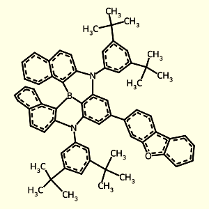 CC(C)(C)c1cc(N2c3cc(-c4ccc5c(c4)oc4ccccc45)cc4c3B(c3c2ccc2ccccc32)c2c(ccc3ccccc23)N4c2cc(C(C)(C)C)cc(C(C)(C)C)c2)cc(C(C)(C)C)c1